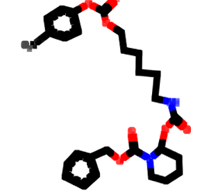 O=C(NCCCCCCOC(=O)Oc1ccc([N+](=O)[O-])cc1)OC1CCCCN1C(=O)OCc1ccccc1